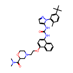 Cc1ccc(C(C)(C)C)cc1-n1nccc1NC(=O)Nc1ccc(OCCN2CCOC(C(=O)N(C)C)C2)c2ccccc12